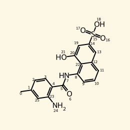 Cc1ccc(C(=O)Nc2cccc3cc(S(=O)(=O)O)cc(O)c23)c(N)c1